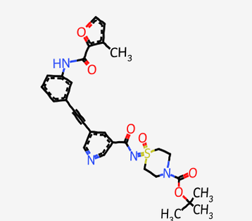 Cc1ccoc1C(=O)Nc1cccc(C#Cc2cncc(C(=O)N=S3(=O)CCN(C(=O)OC(C)(C)C)CC3)c2)c1